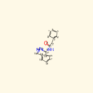 O=C(Cc1ccccc1)Nc1nncc2ccccc12